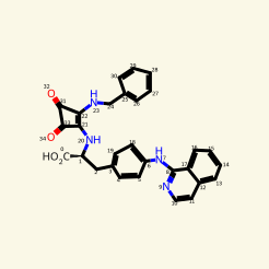 O=C(O)[C@H](Cc1ccc(Nc2nccc3ccccc23)cc1)Nc1c(NCc2ccccc2)c(=O)c1=O